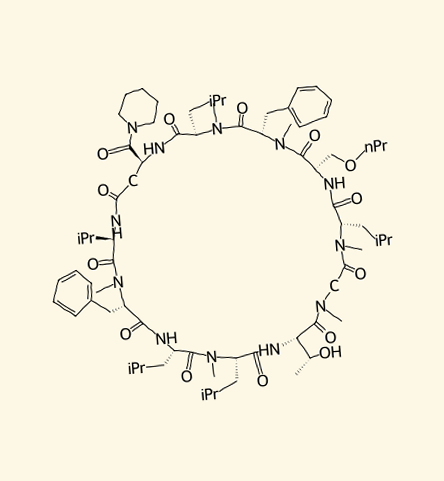 CCCOC[C@@H]1NC(=O)[C@H](CC(C)C)N(C)C(=O)CN(C)C(=O)[C@H]([C@@H](C)O)NC(=O)[C@H](CC(C)C)N(C)C(=O)[C@H](CC(C)C)NC(=O)[C@H](Cc2ccccc2)N(C)C(=O)[C@@H](C(C)C)NC(=O)C[C@@H](C(=O)N2CCCCC2)NC(=O)[C@H](CC(C)C)N(C)C(=O)[C@H](Cc2ccccc2)N(C)C1=O